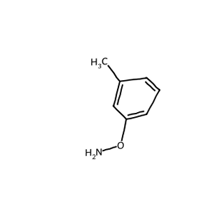 Cc1cccc(ON)c1